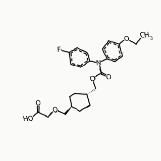 CCOc1ccc(N(C(=O)OC[C@H]2CC[C@H](COCC(=O)O)CC2)c2ccc(F)cc2)cc1